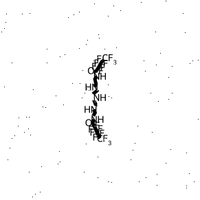 O=C(NCCNCCNCCNCCNC(=O)C(F)(F)C(F)(F)C(F)(F)C(F)(F)F)C(F)(F)C(F)(F)C(F)(F)C(F)(F)F